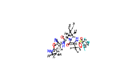 CC(C)(C)[C@H](NS(=O)(=O)C(F)(F)F)C(=O)N1C[C@H]2[C@@H]([C@H]1C(=O)N[C@H](C#N)C[C@H]1C(=O)N[C@@H]3C[C@@H]31)C2(C)C